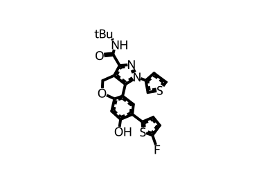 CC(C)(C)NC(=O)c1nn(-c2ccsc2)c2c1COc1cc(O)c(-c3ccc(F)s3)cc1-2